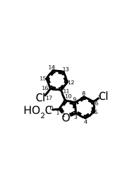 O=C(O)c1oc2ccc(Cl)cc2c1-c1ccccc1Cl